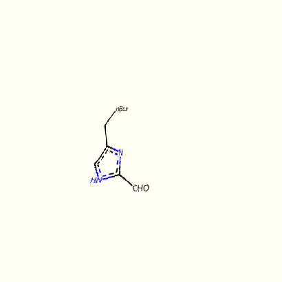 CCCCCc1c[nH]c(C=O)n1